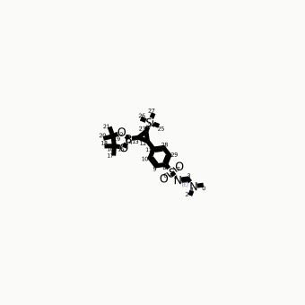 CN(C)/C=N/S(=O)(=O)c1ccc(C2C(B3OC(C)(C)C(C)(C)O3)C2[Si](C)(C)C)cc1